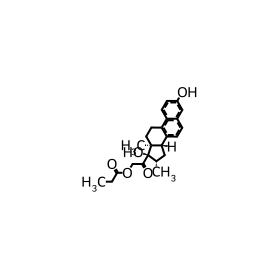 CCC(=O)OCC(=O)[C@@]1(O)[C@@H](C)C[C@H]2c3ccc4cc(O)ccc4c3CC[C@@]21C